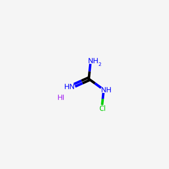 I.N=C(N)NCl